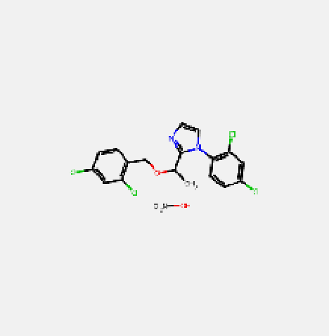 CC(OCc1ccc(Cl)cc1Cl)c1nccn1-c1ccc(Cl)cc1Cl.O=[N+]([O-])O